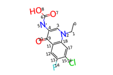 CCn1cc([N]C(=O)O)c(=O)c2cc(F)c(Cl)cc21